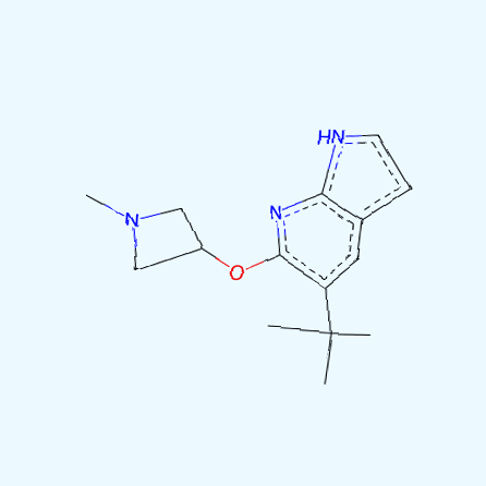 CN1CC(Oc2nc3[nH]ccc3cc2C(C)(C)C)C1